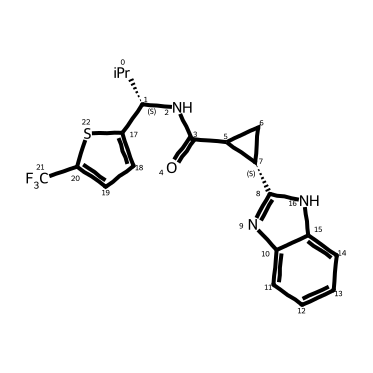 CC(C)[C@H](NC(=O)C1C[C@@H]1c1nc2ccccc2[nH]1)c1ccc(C(F)(F)F)s1